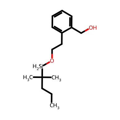 CCCC(C)(C)[SiH2]OCCc1ccccc1CO